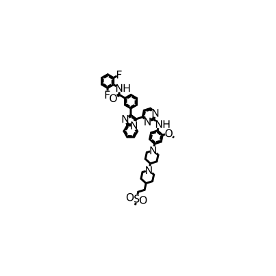 COc1cc(N2CCC(N3CCC(CCS(C)(=O)=O)CC3)CC2)ccc1Nc1nccc(-c2c(-c3cccc(C(=O)Nc4c(F)cccc4F)c3)nc3ccccn23)n1